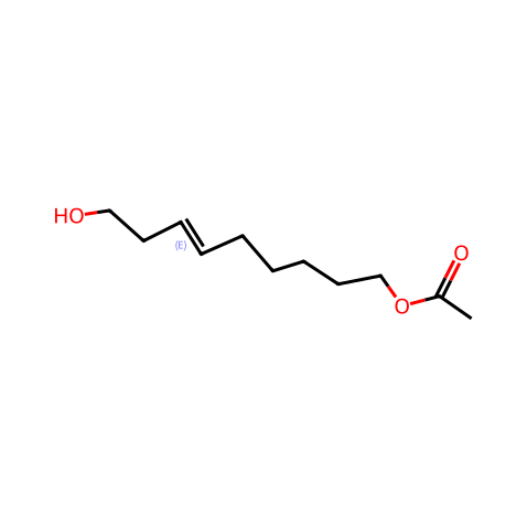 CC(=O)OCCCCC/C=C/CCO